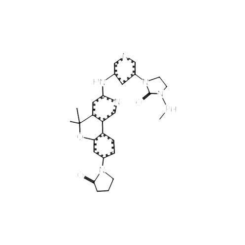 CPN1CCN(c2cncc(Nc3cc4c(cn3)-c3ccc(N5CCCC5=O)cc3OC4(C)C)c2)C1=O